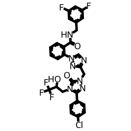 O=C(NCc1cc(F)cc(F)c1)c1ccccc1-n1cnc(Cn2nc(-c3ccc(Cl)cc3)n(CC(O)C(F)(F)F)c2=O)n1